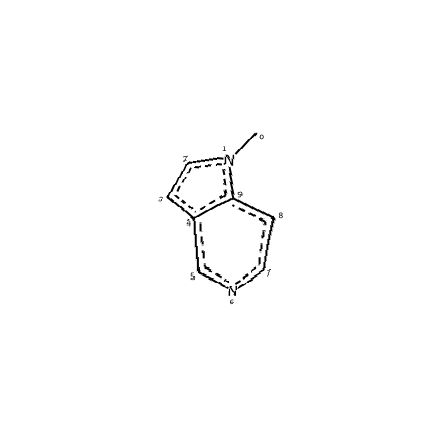 Cn1ccc2cnccc21